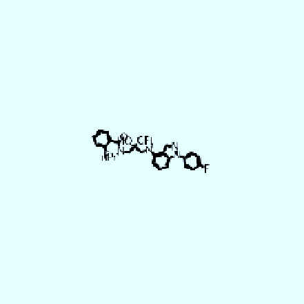 CCCN(CC(O)(CNc1cccc2c1cnn2-c1ccc(F)cc1)C(F)(F)F)C(=O)c1ccccc1F